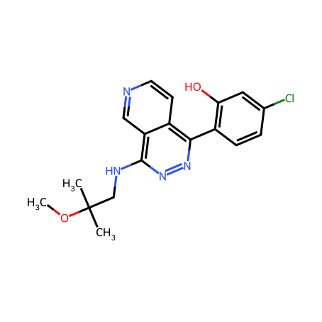 COC(C)(C)CNc1nnc(-c2ccc(Cl)cc2O)c2ccncc12